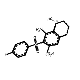 Nc1c2c(cc(C(=O)O)c1S(=O)(=O)c1ccc(F)cc1)CCC[C@H]2O